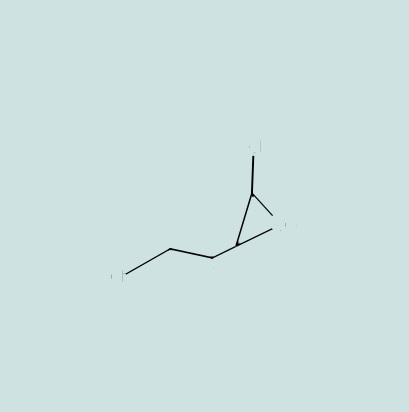 ClCCC1OC1Cl